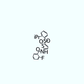 CC(C)c1ccccc1S(=O)(=O)c1ccc(NC(=O)c2ccccc2F)s1